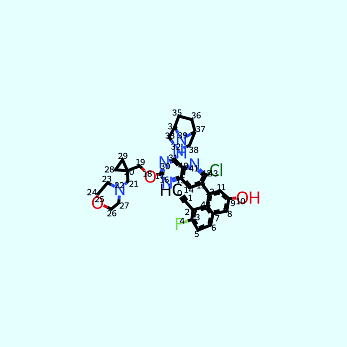 C#Cc1c(F)ccc2cc(O)cc(-c3cc4nc(OCC5(CN6CCOCC6)CC5)nc(N5CC6CCC(C5)N6)c4nc3Cl)c12